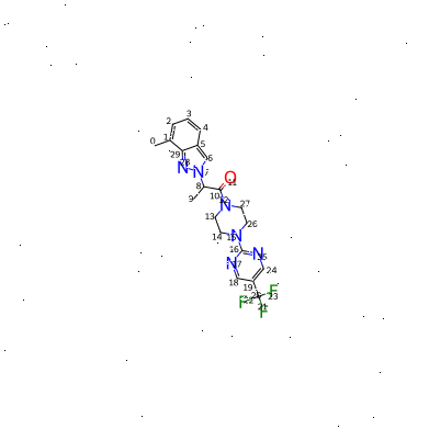 Cc1cccc2cn(C(C)C(=O)N3CCN(c4ncc(C(F)(F)F)cn4)CC3)nc12